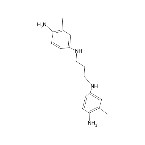 Cc1cc(NCCCNc2ccc(N)c(C)c2)ccc1N